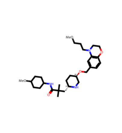 COCCCN1CCOc2ccc(CO[C@@H]3CC[C@@H](CC(C)(C)C(=O)NC4CCC(OC)CC4)NC3)cc21